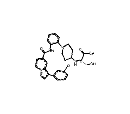 O=C(Nc1ccccc1N1CCC(N[C@@H](CO)C(=O)O)CC1)c1ccn2ncc(-c3cccc(Cl)c3)c2n1